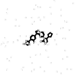 O=C1OCC(C2CCCC2)N1c1ccn2ncc(-c3ccc(-c4nc[nH]n4)c(F)c3)c2n1